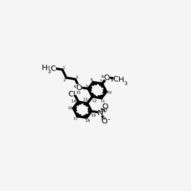 CCCCOc1cc(OC)ccc1-c1c(Cl)cccc1[N+](=O)[O-]